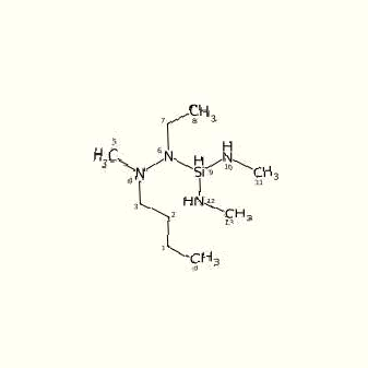 CCCCN(C)N(CC)[SiH](NC)NC